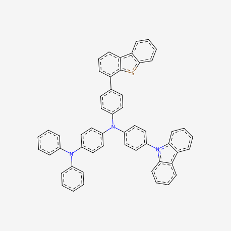 c1ccc(N(c2ccccc2)c2ccc(N(c3ccc(-c4cccc5c4sc4ccccc45)cc3)c3ccc(-n4c5ccccc5c5ccccc54)cc3)cc2)cc1